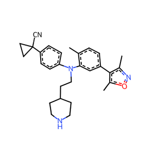 Cc1ccc(-c2c(C)noc2C)cc1N(CCC1CCNCC1)c1ccc(C2(C#N)CC2)cc1